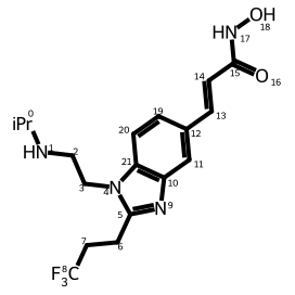 CC(C)NCCn1c(CCC(F)(F)F)nc2cc(/C=C/C(=O)NO)ccc21